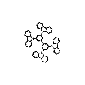 C1=CC2c3ccccc3N(c3cc(-c4cc(-n5c6ccccc6c6ccccc65)cc(-n5c6ccccc6c6ccccc65)c4)cc(N4c5ccccc5C5CCC=CC54)c3)C2C=C1